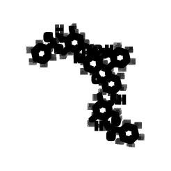 Cc1cc(C)c(NS(=O)(=O)c2ccccc2)c(C)c1/N=c1/cc2oc3cc(Nc4c(C)cc(C)c(NS(=O)(=O)c5ccccc5)c4C)ccc3c(-c3ccccc3S(=O)(=O)O)c-2cc1S(=O)(=O)O